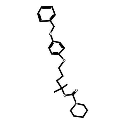 CC(C)(CCCOc1ccc(OCc2ccccc2)cc1)OC(=O)N1CCCCC1